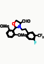 COc1cccc(OC)c1C1OCC(C=O)N1CCc1ccc(F)c(C(F)(F)F)c1